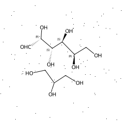 O=C[C@H](O)[C@@H](O)[C@@H](O)[C@H](O)CO.OCC(O)CO